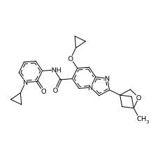 CC12CC(c3cn4cc(C(=O)Nc5cccn(C6CC6)c5=O)c(OC5CC5)cc4n3)(CO1)C2